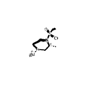 CC[C@@H](C)N1CCN(S(C)(=O)=O)[C@H](C)C1